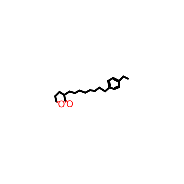 CCc1ccc(CCCCCCCCC2CCCOC2=O)cc1